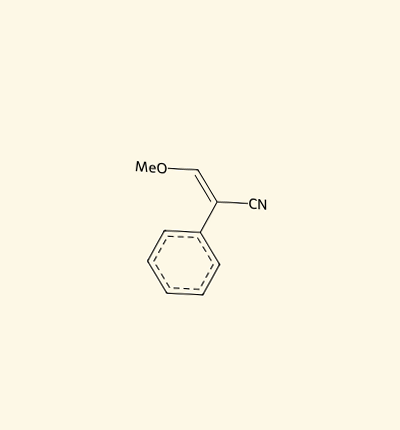 CO/C=C(/C#N)c1ccccc1